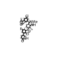 CN/C(=C1/CCN(C(=O)c2cc(F)cc(-c3ccc(=O)[nH]c3)c2Cl)[C@H](C)C1=N)c1cc(Cl)cc(C2([S+]=O)CC2)c1